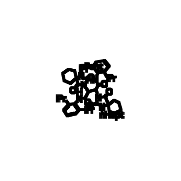 CCCCCCCN1C(=O)N(C(C(=O)Nc2c(C(C)C)cccc2C(C)C)C(C(=O)Nc2c(C(C)C)cccc2C(C)C)N2C(=O)N(CCCCC)C3(CCCCC3)C2=O)C(=O)C12CCCCC2